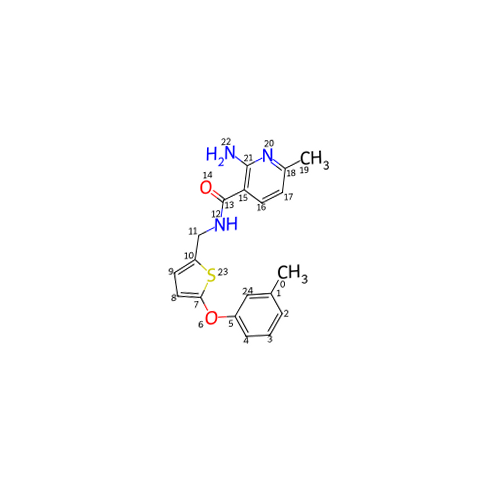 Cc1cccc(Oc2ccc(CNC(=O)c3ccc(C)nc3N)s2)c1